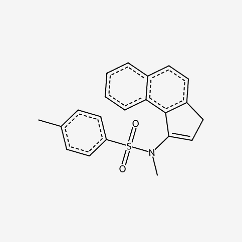 Cc1ccc(S(=O)(=O)N(C)C2=CCc3ccc4ccccc4c32)cc1